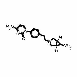 Nc1ccn(-c2ccc(CCN3C[C@@H]4C(N)[C@@H]4C3)cc2)c(=O)n1